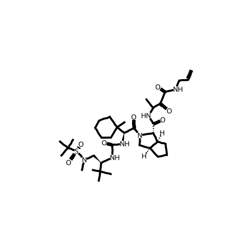 C=CCNC(=O)C(=O)C(C)NC(=O)[C@@H]1[C@H]2CCC[C@H]2CN1C(=O)[C@@H](NC(=O)N[C@H](CN(C)S(=O)(=O)C(C)(C)C)C(C)(C)C)C1(C)CCCCC1